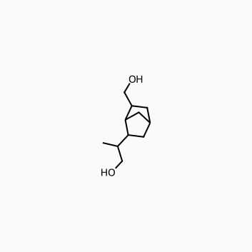 CC(CO)C1CC2CC(CO)C1C2